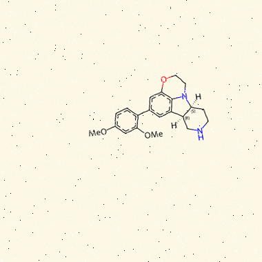 COc1ccc(-c2cc3c4c(c2)[C@@H]2CNCC[C@@H]2N4CCO3)c(OC)c1